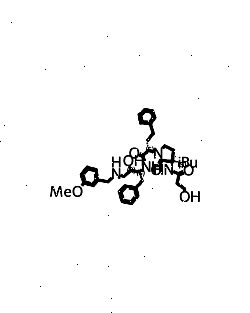 CC[C@H](C)C1(NC(=O)CCO)CCN([C@@H](CCc2ccccc2)C(=O)N[C@@H](Cc2ccccc2)[C@H](O)CNCc2cccc(OC)c2)C1=O